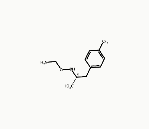 NCOB[C@H](Cc1ccc(C(F)(F)F)cc1)C(=O)O